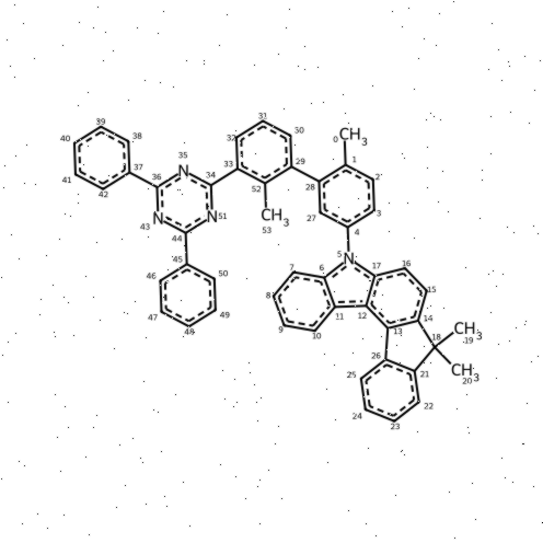 Cc1ccc(-n2c3ccccc3c3c4c(ccc32)C(C)(C)c2ccccc2-4)cc1-c1cccc(-c2nc(-c3ccccc3)nc(-c3ccccc3)n2)c1C